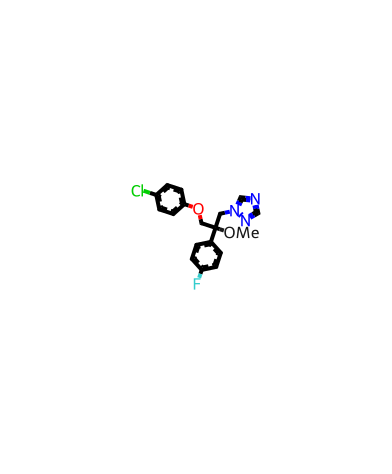 COC(COc1ccc(Cl)cc1)(Cn1cncn1)c1ccc(F)cc1